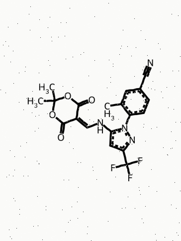 Cc1cc(C#N)ccc1-n1nc(C(F)(F)F)cc1NC=C1C(=O)OC(C)(C)OC1=O